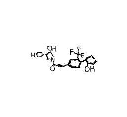 O=C(C#Cc1ccc(-c2ccccc2O)c(C(F)(F)F)c1)N1C[C@@H](O)[C@@H](O)C1